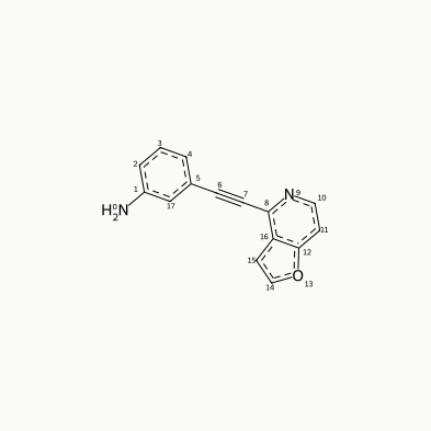 Nc1cccc(C#Cc2nccc3occc23)c1